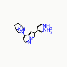 N/C=C\C(=C/N)c1cc2c(N3CC4CCC(C3)N4)ccnn2c1